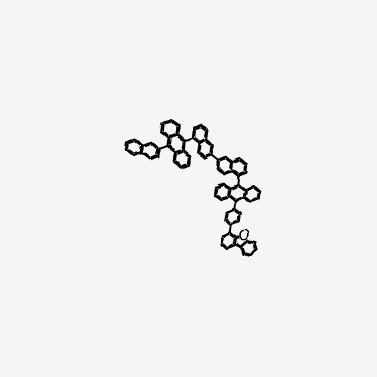 c1ccc2cc(-c3c4ccccc4c(-c4cccc5cc(-c6ccc7c(-c8c9ccccc9c(-c9ccc(-c%10cccc%11c%10oc%10ccccc%10%11)cc9)c9ccccc89)cccc7c6)ccc45)c4ccccc34)ccc2c1